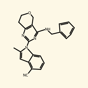 Cc1cc2c(C#N)cccc2n1-c1nc2c(c(NCc3ccccc3)n1)COCC2